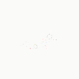 COc1ccc(CN2C(=O)CN(Cc3ccc(C(=O)CCC(C)C)s3)S2(=O)=O)c(OC)c1